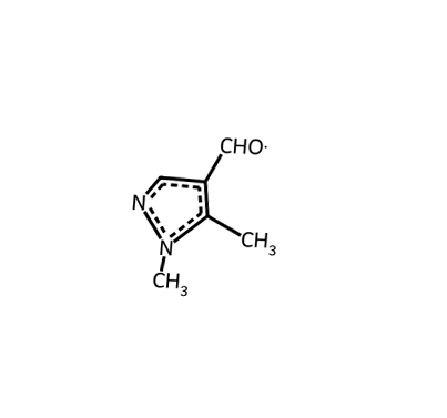 Cc1c([C]=O)cnn1C